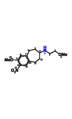 COCCNC1CCc2cc(OC)c([N+](=O)[O-])cc2CC1